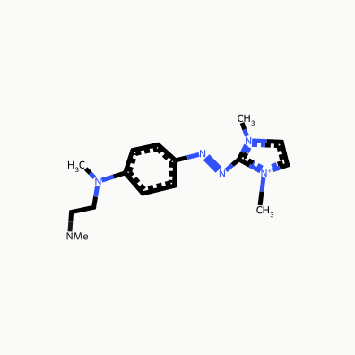 CNCCN(C)c1ccc(N=Nc2n(C)cc[n+]2C)cc1